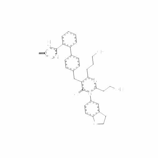 CCCCc1nc(CCO)n(-c2ccc3c(c2)CCO3)c(=O)c1Cc1ccc(-c2ccccc2-c2noc(=O)[nH]2)cc1